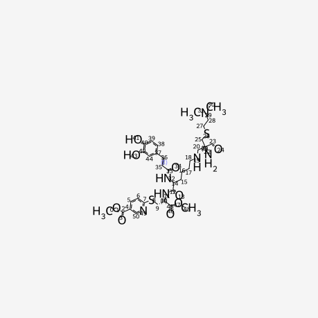 COC(=O)c1ccc(SC[C@H](NC(=O)C(CCCCNC[C@@](N)(C=O)CSCCN(C)C)NC(=O)/C=C/c2ccc(O)c(O)c2)C(=O)OC)nc1